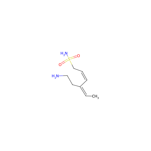 C/C=C(\C=C/CS(N)(=O)=O)CCN